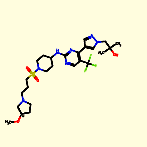 CO[C@@H]1CCN(CCCS(=O)(=O)N2CCC(Nc3ncc(C(F)(F)F)c(-c4cnn(CC(C)(C)O)c4)n3)CC2)C1